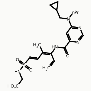 C=C/C(NC(=O)c1cc(N(CCC)CC2CC2)ncn1)=C(C)\C=C\S(=O)(=O)NCC(=O)O